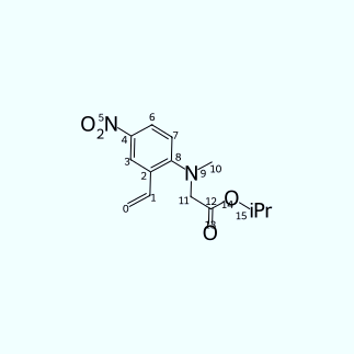 C=Cc1cc([N+](=O)[O-])ccc1N(C)CC(=O)OC(C)C